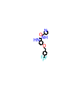 O=C(Nc1c[nH]c2ccc(OCCc3ccc(C(F)(F)F)cc3)cc12)c1cccnc1